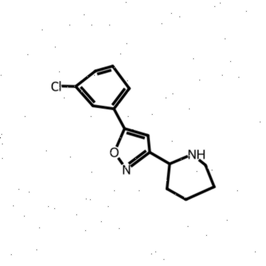 Clc1cccc(-c2cc(C3CCCCN3)no2)c1